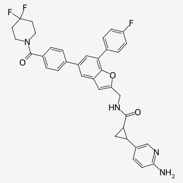 Nc1ccc(C2CC2C(=O)NCc2cc3cc(-c4ccc(C(=O)N5CCC(F)(F)CC5)cc4)cc(-c4ccc(F)cc4)c3o2)cn1